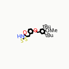 COc1c(C(C)(C)C)cc(COc2cccc(C=C3SC(=S)NC3=O)c2)cc1C(C)(C)C